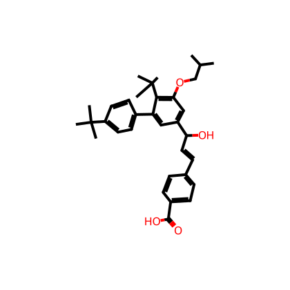 CC(C)COc1cc(C(O)C=Cc2ccc(C(=O)O)cc2)cc(-c2ccc(C(C)(C)C)cc2)c1C(C)(C)C